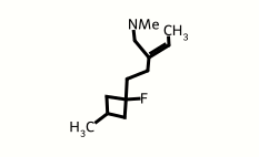 C/C=C(/CCC1(F)CC(C)C1)CNC